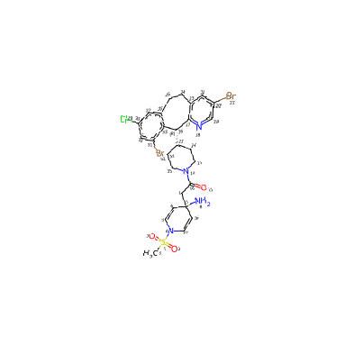 CS(=O)(=O)N1C=CC(N)(CC(=O)N2CCC([C@H]3c4ncc(Br)cc4CCc4cc(Cl)cc(Br)c43)CC2)C=C1